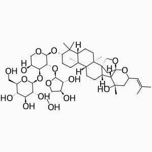 CC(C)=CC1C[C@](C)(O)[C@@H]2[C@@H]3CC[C@@H]4[C@@]5(C)CC[C@H](O[C@@H]6OC[C@H](O)[C@H](O[C@@H]7O[C@H](CO)[C@@H](O)[C@H](O)[C@H]7O)[C@H]6O[C@@H]6O[C@@H](CO)[C@H](O)[C@H]6O)C(C)(C)[C@@H]5CC[C@@]4(C)[C@]34CO[C@@]2(C4)O1